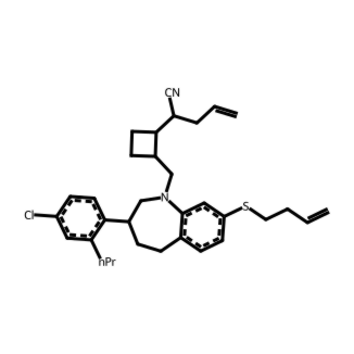 C=CCCSc1ccc2c(c1)N(CC1CCC1C(C#N)CC=C)CC(c1ccc(Cl)cc1CCC)CC2